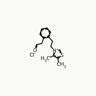 Cc1sc[n+](CCc2ccccc2CC=O)c1C.[Cl-]